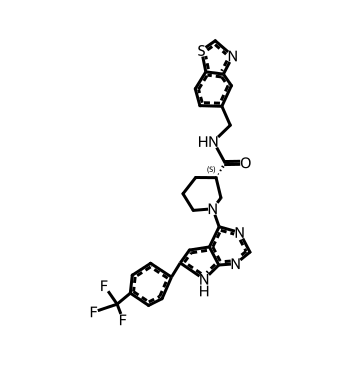 O=C(NCc1ccc2scnc2c1)[C@H]1CCCN(c2ncnc3[nH]c(-c4ccc(C(F)(F)F)cc4)cc23)C1